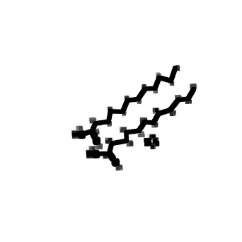 CCCCCCCCCCCC(=O)O.CCCCCCCCCCCC(=O)O.S